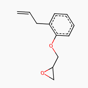 C=CCc1ccccc1OCC1CO1